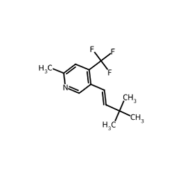 Cc1cc(C(F)(F)F)c(/C=C/C(C)(C)C)cn1